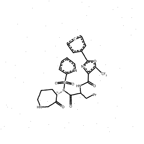 CC(C)CC(NC(=O)c1nc(-c2ccccc2)oc1C(F)(F)F)C(=O)N([C@H]1CCCNCC1=O)S(=O)(=O)c1ccccn1